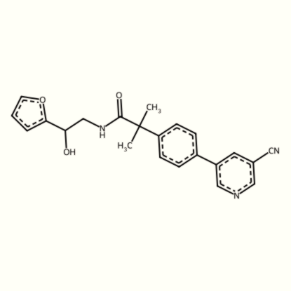 CC(C)(C(=O)NCC(O)c1ccco1)c1ccc(-c2cncc(C#N)c2)cc1